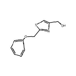 OCc1csc(COc2ccccc2)n1